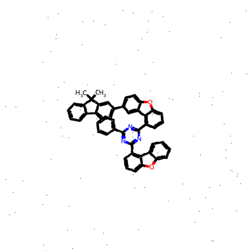 CC1(C)c2ccccc2-c2ccc(-c3ccc4oc5cccc(-c6nc(-c7ccccc7)nc(-c7cccc8oc9ccccc9c78)n6)c5c4c3)cc21